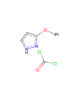 CC(C)Oc1cc[nH]n1.O=C(Cl)Cl